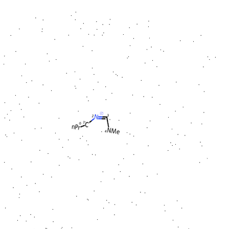 CCCC/N=C\NC